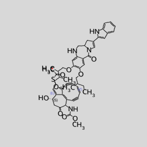 CCC(C)COc1cc2c(cc1OCC(C)C(C)CO[C@H]1C#C/C=C\C#CC3=C1/C(=C\CSC(C)=O)[C@@H](O)CC(=O)C3NC(=O)OC)NCC1CC(c3cc4ccccc4[nH]3)=CN1C2=O